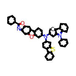 c1ccc(-c2nc3cc4oc5cc(N(c6ccc7c(c6)sc6ccccc67)c6ccc7c8ccccc8n(-c8ccccc8)c7c6)ccc5c4cc3o2)cc1